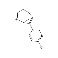 Clc1ccc(C2=CC3CCNC2C3)cn1